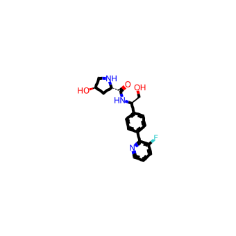 O=C(N[C@@H](CO)c1ccc(-c2ncccc2F)cc1)[C@@H]1C[C@@H](O)CN1